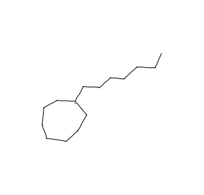 CCCCCCC[C]1CCCCCCC1